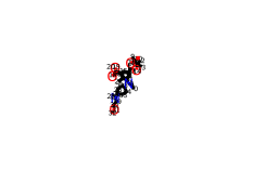 CCN(c1cc(B2OC(C)(C)C(C)(C)O2)cc(C(=O)OC)c1C)C1CCC(N(C)CCOC)CC1